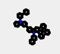 c1ccc(-c2cccc(-n3c4ccccc4c4cc(-c5ccc6c(c5)c5ccc7c(c5n6-c5ccc6ccccc6c5)-c5ccccc5C7(c5ccccc5)c5ccccc5)ccc43)c2)cc1